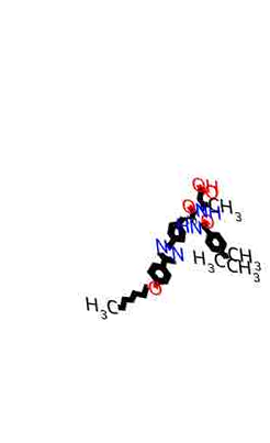 CCCCCCCOc1ccc(-c2cnc(-c3ccc(C[C@H](NC(=O)c4ccc(C(C)(C)C)cc4)C(=O)NC(C)CC(=O)O)cc3)nc2)cc1